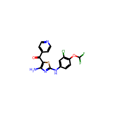 Nc1nc(Nc2ccc(OC(F)F)c(Cl)c2)sc1C(=O)c1ccncc1